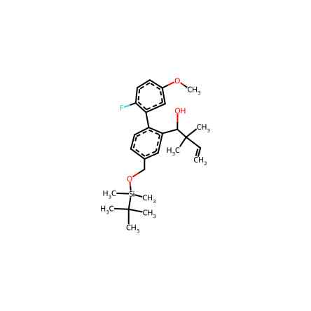 C=CC(C)(C)C(O)c1cc(CO[Si](C)(C)C(C)(C)C)ccc1-c1cc(OC)ccc1F